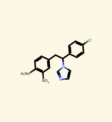 CC(=O)Nc1ccc(CC(c2ccc(Cl)cc2)n2ccnc2)cc1[N+](=O)[O-]